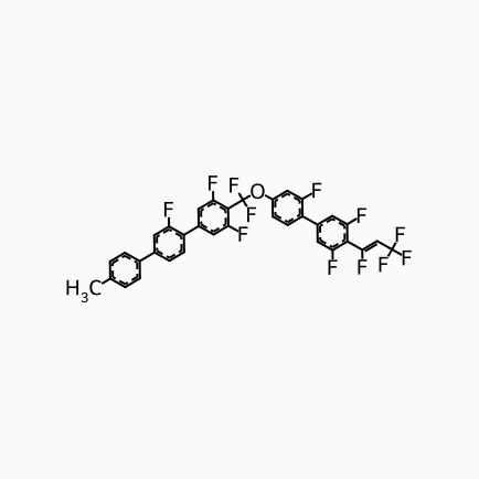 Cc1ccc(-c2ccc(-c3cc(F)c(C(F)(F)Oc4ccc(-c5cc(F)c(/C(F)=C/C(F)(F)F)c(F)c5)c(F)c4)c(F)c3)c(F)c2)cc1